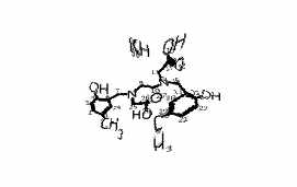 Cc1ccc(O)c(CN(CCN(CC(=O)O)Cc2cc(C)ccc2O)CC(=O)O)c1.[KH]